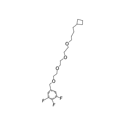 Fc1cc(COCCOCCOCCOCCCCC2CCC2)cc(F)c1F